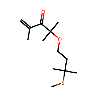 C=C(C)C(=O)C(C)(C)OCCC(C)(C)SC